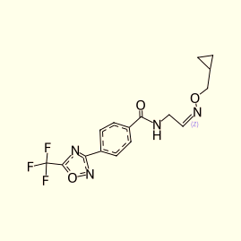 O=C(NC/C=N\OCC1CC1)c1ccc(-c2noc(C(F)(F)F)n2)cc1